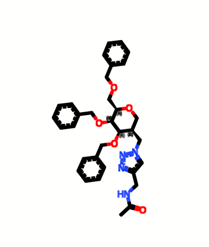 CC(=O)NCc1cn(C[C@@H]2CO[C@H](COCc3ccccc3)[C@H](OCc3ccccc3)[C@@H]2OCc2ccccc2)nn1